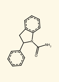 NC(=O)N1c2ccccc2CC1c1ccccc1